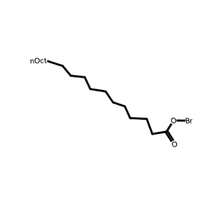 CCCCCCCCCCCCCCCCCCC(=O)OBr